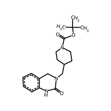 CC(C)(C)OC(=O)N1CCC(CN2Cc3ccccc3NC2=O)CC1